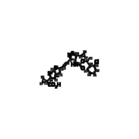 CC(OC(=O)Nc1c(C#Cc2cc3cc(C4(C(=O)O)CC4)sc3s2)nsc1C1CC1)c1ccccc1Cl